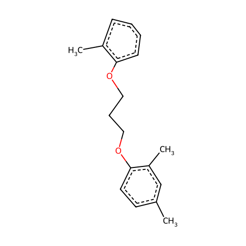 Cc1ccc(OCCCOc2ccccc2C)c(C)c1